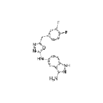 Nc1n[nH]c2ccc(Nc3nnc(Cc4ccc(F)c(F)c4)o3)cc12